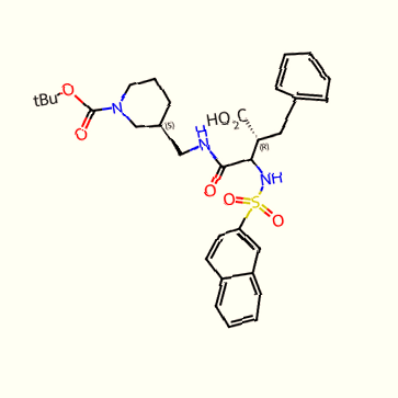 CC(C)(C)OC(=O)N1CCC[C@@H](CNC(=O)C(NS(=O)(=O)c2ccc3ccccc3c2)[C@@H](Cc2ccccc2)C(=O)O)C1